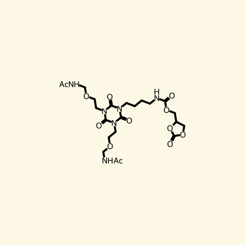 CC(=O)NCOCCn1c(=O)n(CCCCNC(=O)OCC2COC(=O)O2)c(=O)n(CCOCNC(C)=O)c1=O